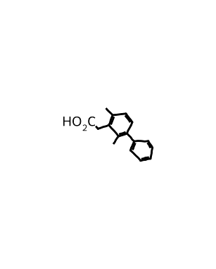 Cc1ccc(-c2ccccc2)c(C)c1CC(=O)O